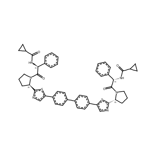 O=C(N[C@H](C(=O)N1CCC[C@@H]1c1ncc(-c2ccc(-c3ccc(-c4cnc([C@H]5CCCN5C(=O)[C@@H](NC(=O)C5CC5)c5ccccc5)s4)cc3)cc2)s1)c1ccccc1)C1CC1